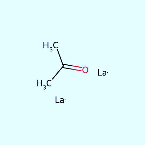 CC(C)=O.[La].[La]